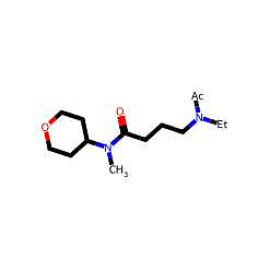 CCN(CCCC(=O)N(C)C1CCOCC1)C(C)=O